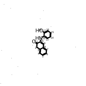 O=C1Cc2ccccc2C=C1Nc1ccccc1O